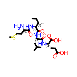 CC[C@H](C)[C@H](NC(=O)[C@@H](N)CCSC)C(=O)N[C@@H](CC(C)C)C(=O)N[C@@H](CCC(=O)O)C(=O)O